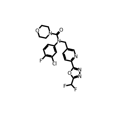 O=C(N1CCOCC1)N(Cc1ccc(-c2nnc(C(F)F)o2)nc1)c1ccc(F)c(Cl)c1